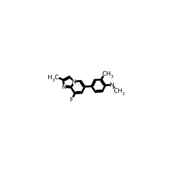 C=Nc1ccc(-c2cc(F)c3nc(C)cn3c2)cc1C